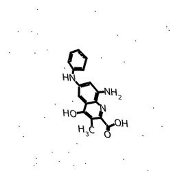 Cc1c(C(=O)O)nc2c(N)cc(Nc3ccccc3)cc2c1O